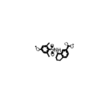 COC(=O)c1ccc2c(c1)[C@@H](NS(=O)(=O)c1c(C)cc(OC)cc1C)CCC2